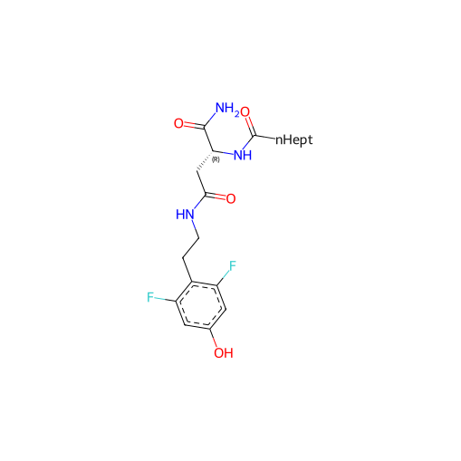 CCCCCCCC(=O)N[C@H](CC(=O)NCCc1c(F)cc(O)cc1F)C(N)=O